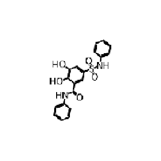 O=C(Nc1ccccc1)c1cc(S(=O)(=O)Nc2ccccc2)cc(O)c1O